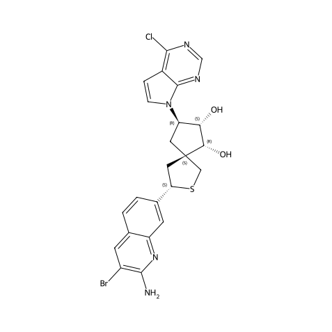 Nc1nc2cc([C@@H]3C[C@@]4(CS3)C[C@@H](n3ccc5c(Cl)ncnc53)[C@H](O)[C@@H]4O)ccc2cc1Br